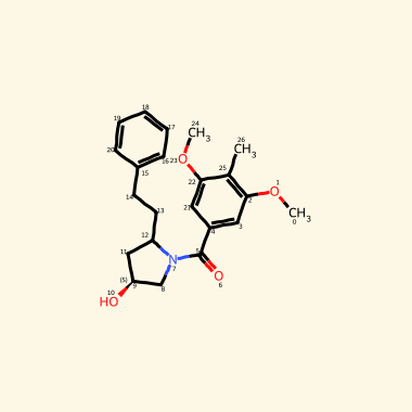 COc1cc(C(=O)N2C[C@@H](O)CC2CCc2ccccc2)cc(OC)c1C